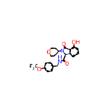 O=C(NCc1ccc(OC(F)(F)F)cc1)C1c2cccc(O)c2C(=O)N1C1CCOCC1